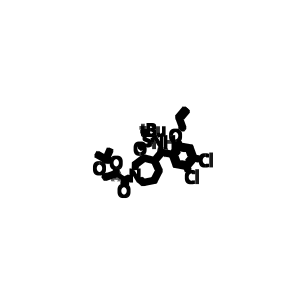 C=CCOc1cc(Cl)c(Cl)cc1[C@H](N[S+]([O-])C(C)(C)C)C1CCCN(C(=O)[C@H]2COC(C)(C)O2)CC1